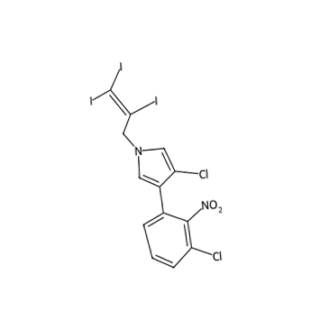 O=[N+]([O-])c1c(Cl)cccc1-c1cn(CC(I)=C(I)I)cc1Cl